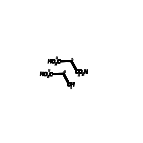 O=C(O)CC(=O)O.O=C(O)CO